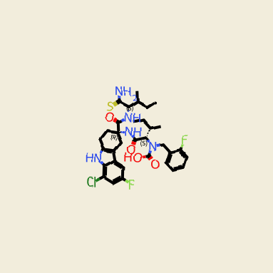 CCC(C)[C@H](NC(=O)[C@@]1(NC(=O)[C@H](C(C)CC)N(Cc2ccccc2F)C(=O)O)CCc2[nH]c3c(Cl)cc(F)cc3c2C1)C(N)=S